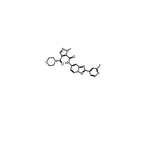 Cn1ncc(C(=O)N2CCOCC2)c1C(=O)Nc1ccn2nc(-c3ccnc(F)c3)nc2c1